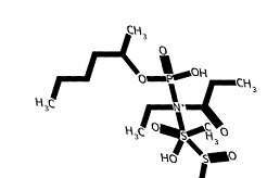 CCCCC(C)OP(=O)(O)[N+](CC)(C(=O)CC)S(C)(=O)(O)S(=O)O